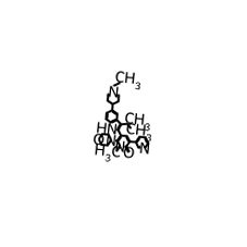 CCCN1CCC(c2ccc3[nH]c(-c4cc(-c5cccnc5)c(=O)n(C)c4N4CCOCC4)c(C(C)C)c3c2)CC1